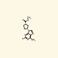 COC(=O)[C@@H]1CC[C@@H](n2cnc3c(N)nc(F)nc32)C1